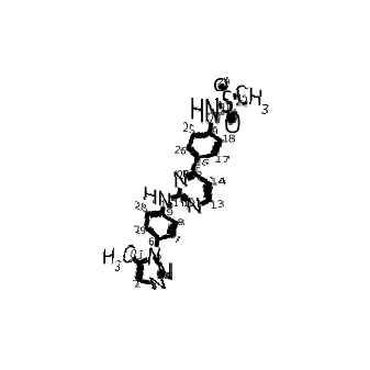 Cc1cnnn1-c1ccc(Nc2nccc(-c3ccc(NS(C)(=O)=O)cc3)n2)cc1